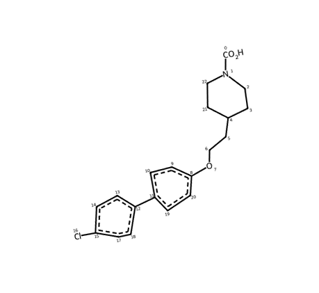 O=C(O)N1CCC(CCOc2ccc(-c3ccc(Cl)cc3)cc2)CC1